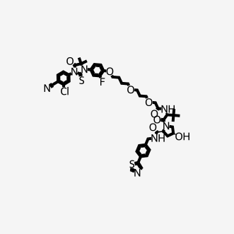 CC(C)(C)[C@H](NC(=O)COCCCOCCCCOc1ccc(N2C(=S)N(c3ccc(C#N)c(Cl)c3)C(=O)C2(C)C)cc1F)C(=O)N1C[C@H](O)C[C@H]1C(=O)NCc1ccc(-c2cncs2)cc1